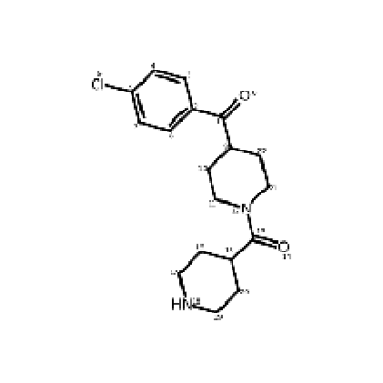 O=C(c1ccc(Cl)cc1)C1CCN(C(=O)C2CCNCC2)CC1